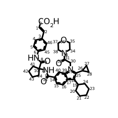 O=C(O)/C=C/c1ccc(NC(=O)C2(NC(=O)c3ccc4c(C5CCCCC5)c(C5CC5)n(CC(=O)N5CCOCC5)c4c3)CCCC2)cc1